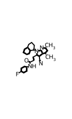 Cc1cc(C)c2c(C#N)c(C=CC(=O)Nc3ccc(F)cc3)n([C@H]3CCCc4ccccc43)c2n1